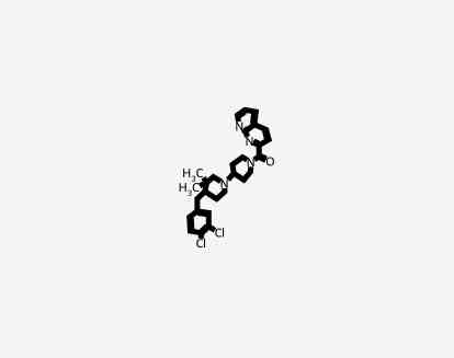 CC1(C)CN(C2CCN(C(=O)c3ccc4cccnc4n3)CC2)CCC1Cc1ccc(Cl)c(Cl)c1